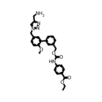 CCOC(=O)c1ccc(NC(=O)OCc2cccc(-c3cc(Cn4cc(CN)nn4)ccc3OC)c2)cc1